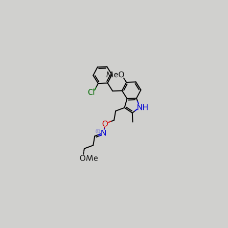 COCC/C=N/OCCc1c(C)[nH]c2ccc(OC)c(Cc3ccccc3Cl)c12